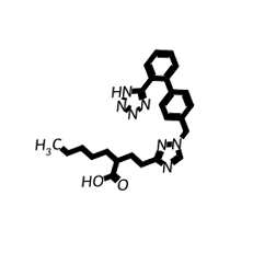 CCCCCC(CCc1ncn(Cc2ccc(-c3ccccc3-c3nnn[nH]3)cc2)n1)C(=O)O